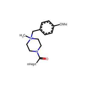 CCCCCCCC(=O)N1CC[N+](C)(Cc2ccc(OC)cc2)CC1